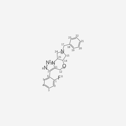 Fc1ccccc1-c1nnn2c1COC1CN(Cc3ccccc3)CC12